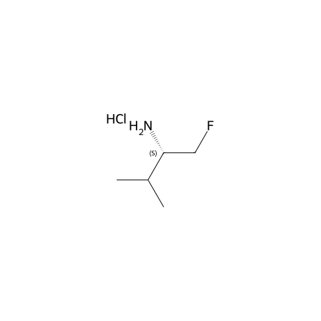 CC(C)[C@H](N)CF.Cl